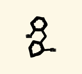 CC(C)(C)c1ccccc1Cc1ccccc1C(C)(C)C